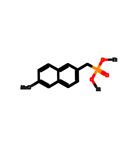 CCOP(=O)(Cc1ccc2cc(OC)ccc2c1)OCC